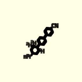 [2H][C@@H]1C[C@@H](CCC)CC([2H])([2H])C1c1ccc(-c2ccc(C#N)cc2)cc1